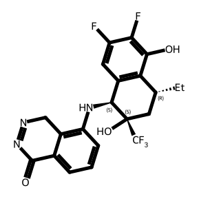 CC[C@@H]1C[C@@](O)(C(F)(F)F)[C@@H](Nc2cccc3c2CN=NC3=O)c2cc(F)c(F)c(O)c21